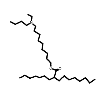 CCCCCCCCC(CCCCCCC)C(=O)OCCCCCCCCCN(CC)CCCC